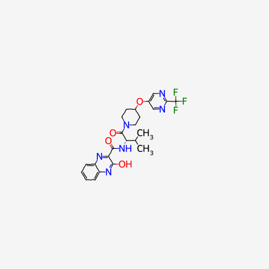 CC(C)[C@H](NC(=O)c1nc2ccccc2nc1O)C(=O)N1CCC(Oc2cnc(C(F)(F)F)nc2)CC1